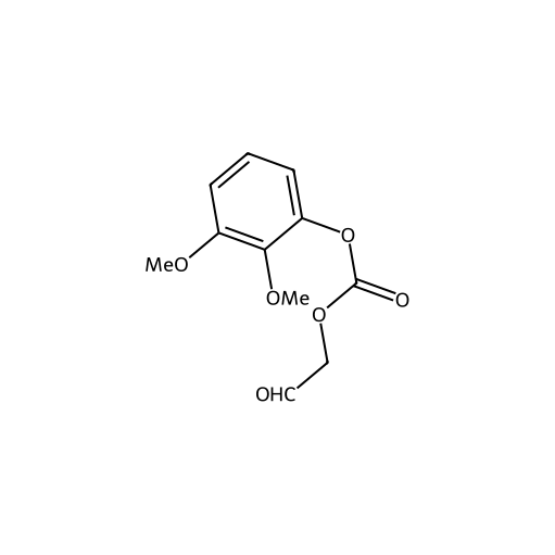 COc1cccc(OC(=O)OCC=O)c1OC